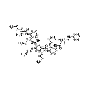 N=C(N)NCCC[C@@H](N)C(=O)Nc1cccc(NC(=O)c2cc(C(=O)Nc3cccc(NC(=O)[C@H](N)CCCN)c3SCCN)c(OCCN)cc2OCCN)c1SCCN